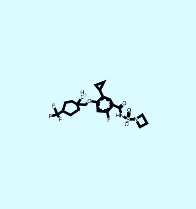 CC1(COc2cc(F)c(C(=O)NS(=O)(=O)N3CCC3)cc2C2CC2)CCC(C(F)(F)F)CC1